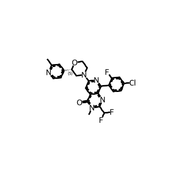 Cc1cc([C@H]2CN(c3cc4c(=O)n(C)c(C(F)F)nc4c(-c4ccc(Cl)cc4F)n3)CCO2)ccn1